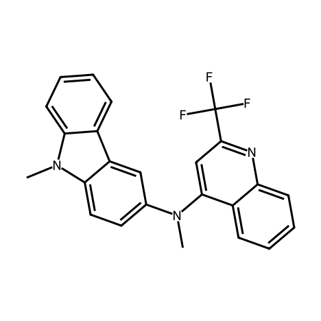 CN(c1ccc2c(c1)c1ccccc1n2C)c1cc(C(F)(F)F)nc2ccccc12